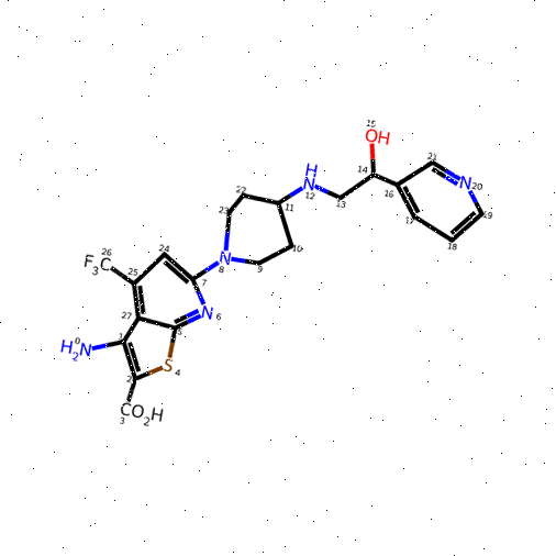 Nc1c(C(=O)O)sc2nc(N3CCC(NCC(O)c4cccnc4)CC3)cc(C(F)(F)F)c12